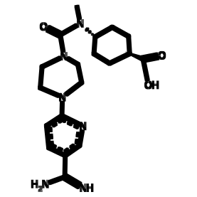 CN(C(=O)N1CCN(c2ccc(C(=N)N)cn2)CC1)[C@H]1CC[C@H](C(=O)O)CC1